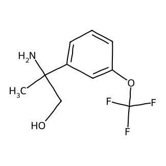 CC(N)(CO)c1cccc(OC(F)(F)F)c1